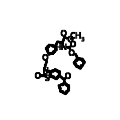 COC(=O)C(Cc1ccc(OCCn2c(=O)sc3cc(C(=O)c4ccccc4)ccc32)cc1)NC(=O)OCc1ccccc1